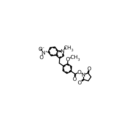 COc1cc(C(=O)ON2C(=O)CCC2=O)ccc1Cc1cn(C)c2ccc([N+](=O)[O-])cc12